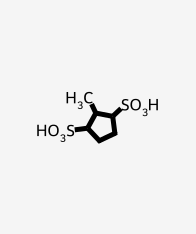 CC1C(S(=O)(=O)O)CCC1S(=O)(=O)O